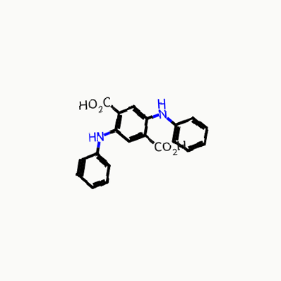 O=C(O)c1cc(Nc2ccccc2)c(C(=O)O)cc1Nc1c#cccc1